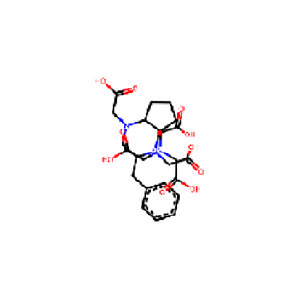 O=C(O)CN(CC(=O)O)C(Cc1ccccc1)CN(CC(=O)O)C1CCCC1N(CC(=O)O)CC(=O)O